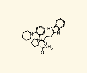 NC(=O)[C@@H]1CCC[N+]1(C(=O)CCc1nc2ccccc2[nH]1)c1ccccc1N1CCCCC1